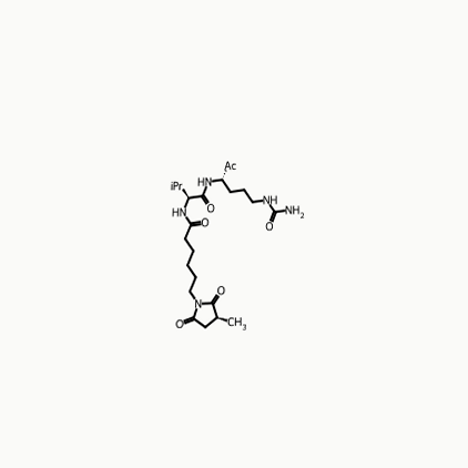 CC(=O)[C@H](CCCNC(N)=O)NC(=O)[C@@H](NC(=O)CCCCCN1C(=O)C[C@H](C)C1=O)C(C)C